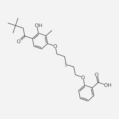 Cc1c(OCCSCCOc2ccccc2C(=O)O)ccc(C(=O)CC(C)(C)C)c1O